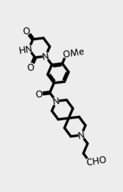 COc1ccc(C(=O)N2CCC3(CCN(CCC=O)CC3)CC2)cc1N1CCC(=O)NC1=O